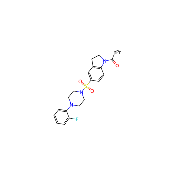 CCCC(=O)N1CCc2cc(S(=O)(=O)N3CCN(c4ccccc4F)CC3)ccc21